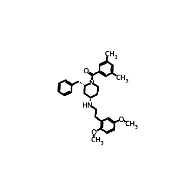 COc1ccc(OC)c(CCN[C@H]2CCN(C(=O)c3cc(C)cc(C)c3)[C@@H](Cc3ccccc3)C2)c1